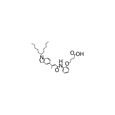 CCCCCC(CCCCC)n1ccc2cc(/C(C)=C/C(=O)Nc3ccccc3OCCCC(=O)O)ccc21